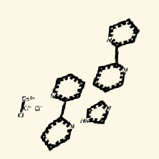 [Cl-].[Cl-].[Cl][Os+2].c1c[nH]cn1.c1ccc(-c2ccccn2)nc1.c1ccc(-c2ccccn2)nc1